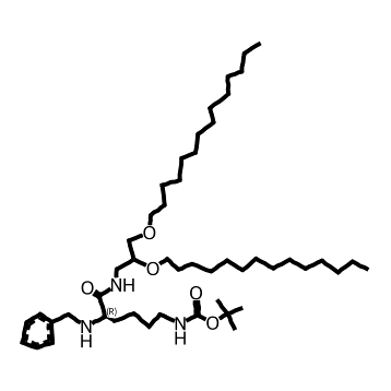 CCCCCCCCCCCCCCOCC(CNC(=O)[C@@H](CCCCNC(=O)OC(C)(C)C)NCc1ccccc1)OCCCCCCCCCCCCCC